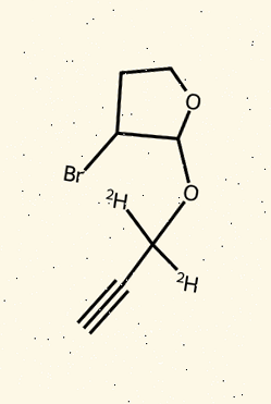 [2H]C([2H])(C#C)OC1OCCC1Br